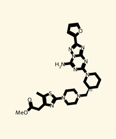 COC(=O)Cc1nc(N2CCN(C[C@@H]3CCCN(c4nc(N)n5nc(-c6ccco6)nc5n4)C3)CC2)sc1C